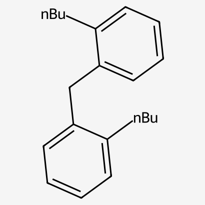 CCCCc1ccccc1Cc1ccccc1CCCC